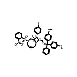 COc1ccc(C(OC[C@@H]2[C@H](c3ccc(Br)cc3)[C@@H]3CN(S(=O)(=O)c4ccccc4[N+](=O)[O-])C/C=C\CN23)(c2ccccc2)c2ccc(OC)cc2)cc1